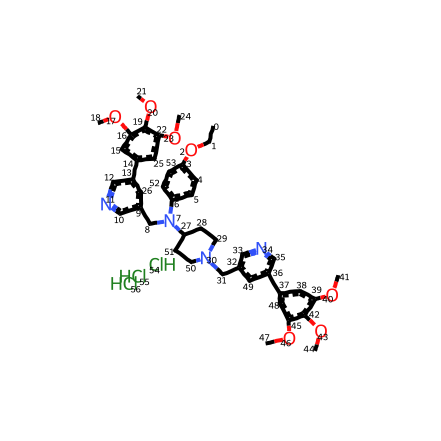 CCOc1ccc(N(Cc2cncc(-c3cc(OC)c(OC)c(OC)c3)c2)C2CCN(Cc3cncc(-c4cc(OC)c(OC)c(OC)c4)c3)CC2)cc1.Cl.Cl.Cl